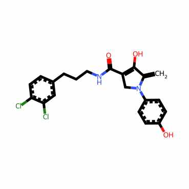 C=C1C(O)=C(C(=O)NCCCc2ccc(Cl)c(Cl)c2)CN1c1ccc(O)cc1